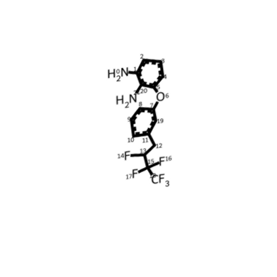 Nc1cccc(Oc2cccc(CC(F)C(F)(F)C(F)(F)F)c2)c1N